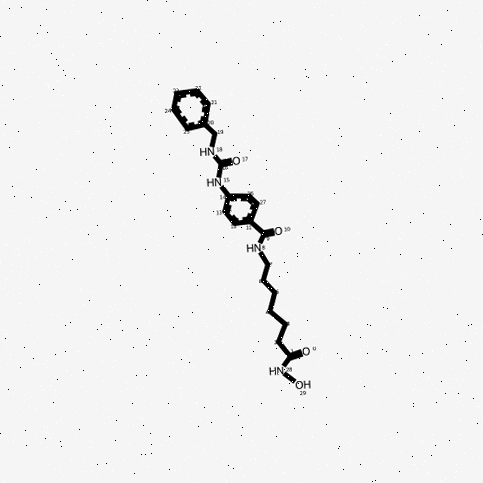 O=C(CCCCCCNC(=O)c1ccc(NC(=O)NCc2ccccc2)cc1)NO